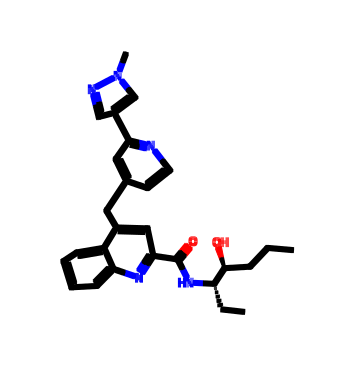 CCC[C@H](O)[C@H](CC)NC(=O)c1cc(Cc2ccnc(-c3cnn(C)c3)c2)c2ccccc2n1